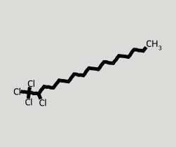 CCCCCCCCCCCCCCCC(Cl)C(Cl)(Cl)Cl